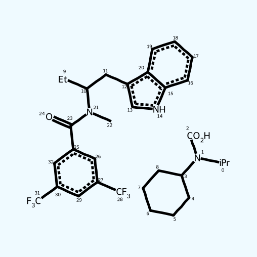 CC(C)N(C(=O)O)C1CCCCC1.CCC(Cc1c[nH]c2ccccc12)N(C)C(=O)c1cc(C(F)(F)F)cc(C(F)(F)F)c1